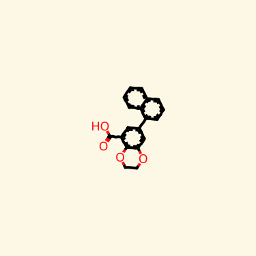 O=C(O)c1cc(-c2cccc3ccccc23)cc2c1OCCO2